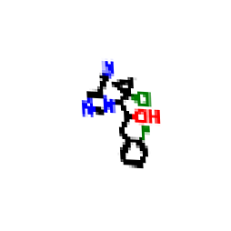 N#Cc1cncn1C(C(O)Cc1ccccc1F)C1(Cl)CC1